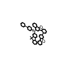 CC1(C)c2ccccc2-c2ccc(N(c3ccc(-c4ccccc4)cc3)c3cc4c(oc5cccc(-c6ccc7c(c6)oc6ccccc67)c54)c4ccccc34)cc21